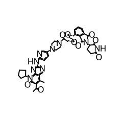 CC(=O)c1c(C)c2cnc(Nc3ccc(N4CCN(C(=O)CS(=O)(=O)c5cccc6c5C(=O)N(C5CCC(=O)NC5=O)C6=O)CC4)cn3)nc2n(C2CCCC2)c1=O